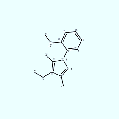 CCc1c(C)nn(-c2ccccc2OC)c1C